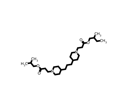 CCC(C)COC(=O)CCN1CCC(CCCC2CCN(CCC(=O)OCC(C)C)CC2)CC1